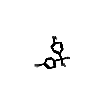 CCCCC(P)(c1ccc(C)cc1)c1ccc(C)cc1